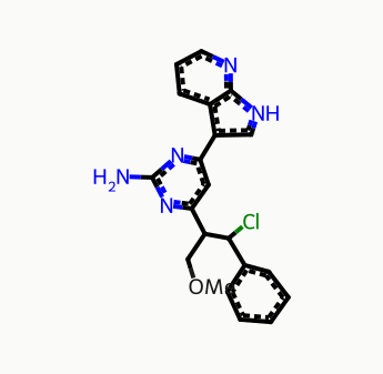 COCC(c1cc(-c2c[nH]c3ncccc23)nc(N)n1)C(Cl)c1ccccc1